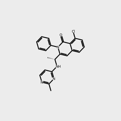 Cc1nccc(N[C@H](C)c2cc3cccc(Cl)c3c(=O)n2-c2ccccc2)n1